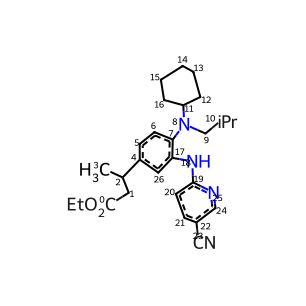 CCOC(=O)CC(C)c1ccc(N(CC(C)C)C2CCCCC2)c(Nc2ccc(C#N)cn2)c1